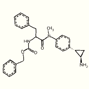 CN(C(=O)C(Cc1ccccc1)NC(=O)OCc1ccccc1)c1ccc([C@@H]2C[C@H]2N)cc1